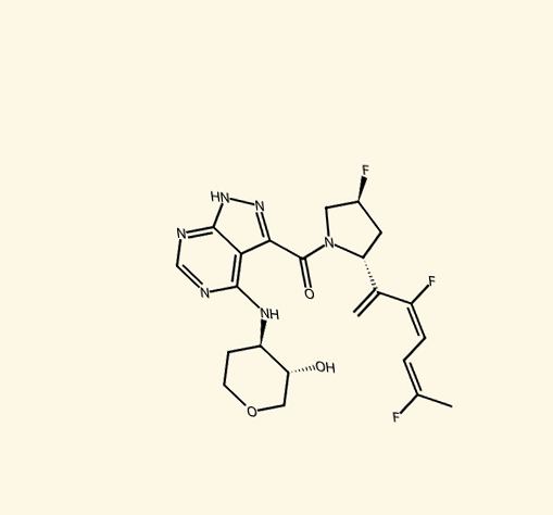 C=C(/C(F)=C\C=C(/C)F)[C@H]1C[C@H](F)CN1C(=O)c1n[nH]c2ncnc(N[C@@H]3CCOC[C@H]3O)c12